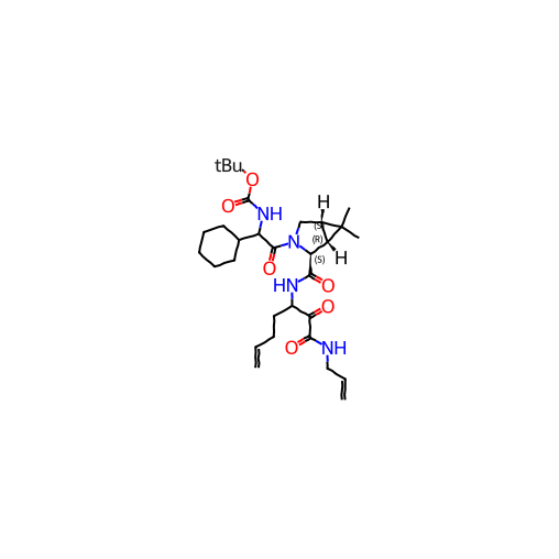 C=CCCC(NC(=O)[C@@H]1[C@@H]2[C@H](CN1C(=O)C(NC(=O)OC(C)(C)C)C1CCCCC1)C2(C)C)C(=O)C(=O)NCC=C